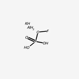 O=P(O)(O)OF.[AlH3].[KH]